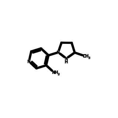 CC1CCN(c2ccncc2N)N1